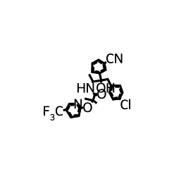 CC(NC(=O)C(C)(C)Oc1ccc(C(F)(F)F)cn1)C(O)(Cc1ccc(Cl)cc1)c1cccc(C#N)c1